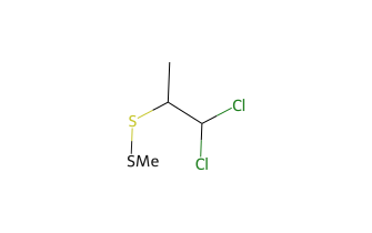 CSSC(C)C(Cl)Cl